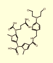 Cn1cc(N(C(=O)O)c2cc(C(=O)NCc3ccc(N(CCCl)CCCl)cc3)cn2C)cc1N(CCC(=N)N)C(=O)O